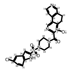 O=C(c1ncc2c([n+]1[O-])CCc1cnccc1-2)N1CCN(S(=O)(=O)c2cc3cc(Cl)ccc3[nH]2)CC1